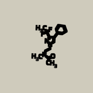 CC(=O)N(C)CCn1cc(-c2ccccc2)c(C(C)(F)F)n1